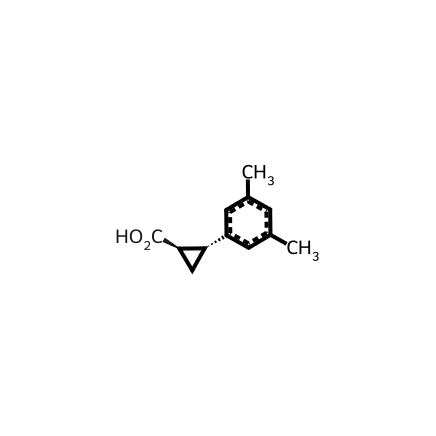 Cc1cc(C)cc([C@@H]2C[C@H]2C(=O)O)c1